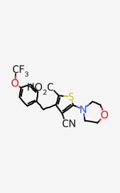 N#Cc1c(N2CCOCC2)sc(C(=O)O)c1Cc1ccc(OC(F)(F)F)cc1